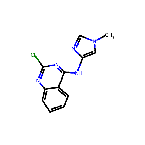 Cn1cnc(Nc2nc(Cl)nc3ccccc23)c1